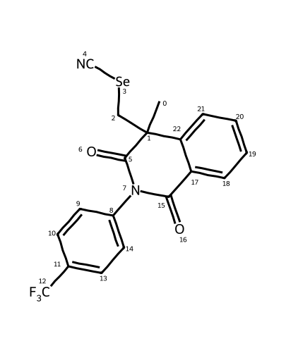 CC1(C[Se]C#N)C(=O)N(c2ccc(C(F)(F)F)cc2)C(=O)c2ccccc21